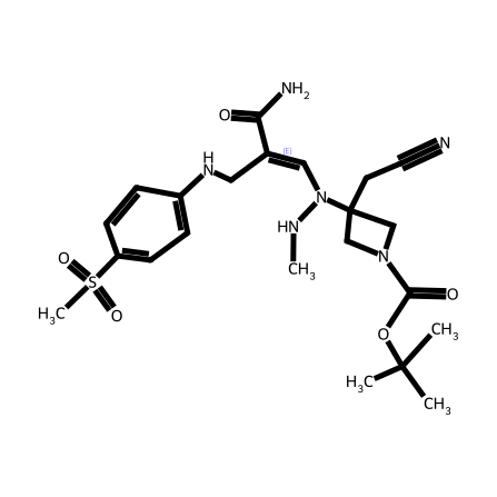 CNN(/C=C(\CNc1ccc(S(C)(=O)=O)cc1)C(N)=O)C1(CC#N)CN(C(=O)OC(C)(C)C)C1